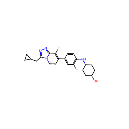 O[C@H]1CC[C@@H](Nc2ccc(-c3ccn4c(CC5CC5)nnc4c3Cl)cc2Cl)CC1